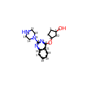 OC1CCC(Oc2nc(N3CCNCC3)nc3ccccc23)C1